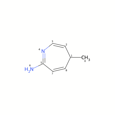 CC1C=CN=C(N)C=C1